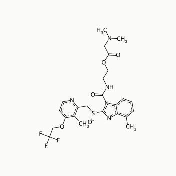 Cc1c(OCC(F)(F)F)ccnc1C[S@@+]([O-])c1nc2c(C)cccc2n1C(=O)NCCOC(=O)CN(C)C